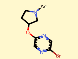 CC(=O)N1CCC(Oc2cnc(Br)cn2)C1